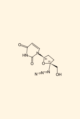 [N-]=[N+]=N[C@@]1(CO)CC[C@H](n2ccc(=O)[nH]c2=O)O1